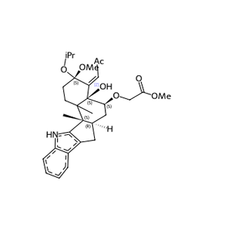 COC(=O)CO[C@H]1C[C@H]2Cc3c([nH]c4ccccc34)[C@]2(C)C2(C)CC[C@](OC)(OC(C)C)/C(=C\C(C)=O)[C@]12O